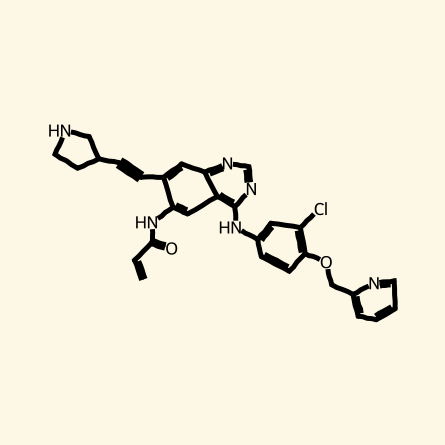 C=CC(=O)Nc1cc2c(Nc3ccc(OCc4ccccn4)c(Cl)c3)ncnc2cc1C#CC1CCNC1